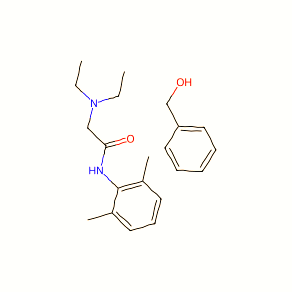 CCN(CC)CC(=O)Nc1c(C)cccc1C.OCc1ccccc1